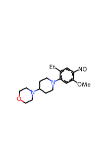 CCc1cc(N=O)c(OC)cc1N1CCC(N2CCOCC2)CC1